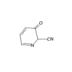 N#CC1N=CC=CC1=O